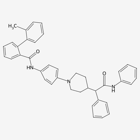 Cc1ccccc1-c1ccccc1C(=O)Nc1ccc(N2CCC(C(C(=O)Nc3ccccc3)c3ccccc3)CC2)cc1